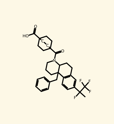 CC(F)(c1ccc2c(c1)CCC1N(C(=O)C34CCC(C(=O)O)(CC3)CC4)CCCC21Cc1ccccc1)C(F)(F)F